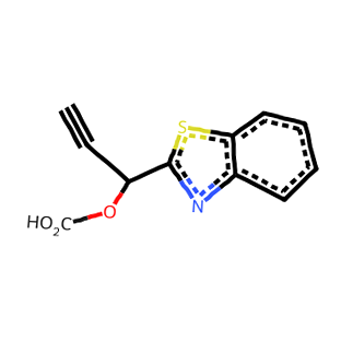 C#CC(OC(=O)O)c1nc2ccccc2s1